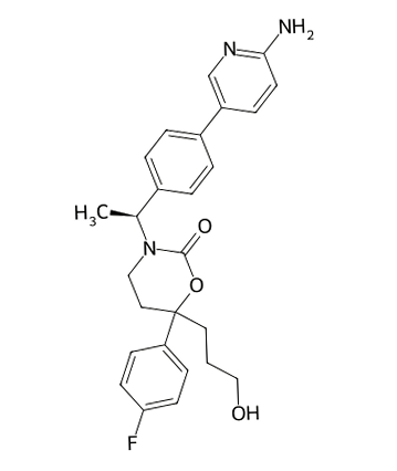 C[C@@H](c1ccc(-c2ccc(N)nc2)cc1)N1CCC(CCCO)(c2ccc(F)cc2)OC1=O